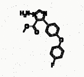 COC(=O)c1c(-c2ccc(Oc3ccc(F)cc3)cc2)ncn1N